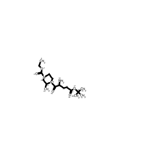 CCOC(=O)N1CCN(C(=O)C(N)CCC(=O)OC(C)(C)C)C(C)C1